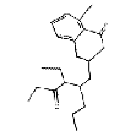 CCCC(CC1CC(=O)c2c(C)cccc2C1)C(CC)C(=O)CC